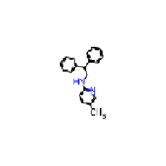 Cc1ccc(NCC(c2ccccc2)c2ccccc2)nc1